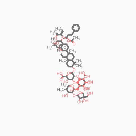 C=C(O[C@H]1C(OC(=O)/C=C/c2ccccc2)C23[C@H](O)O[C@@]4(CCC5[C@@]6(C)CC[C@H](O[C@@H]7O[C@H](C(=O)O)[C@@H](O)[C@H](O[C@@H]8O[C@H](CO)[C@H](O)[C@H](O)C8O[C@@H]8O[C@@H](C)[C@H](C)[C@@H](O)[C@H]8O[C@@H]8OC[C@](O)(CO)[C@H]8O)[C@H]7OC7O[C@H](CO)[C@H](O)[C@H](O)[C@H]7O)C(C)(C)C6CC[C@@]5(C)[C@]4(C)C[C@H]2OC(C)=O)[C@@H]3CC1(C)C)/C(C)=C\C